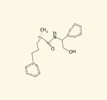 C[C@@H](CCCc1ccccc1)C(=O)NC(CO)c1ccccc1